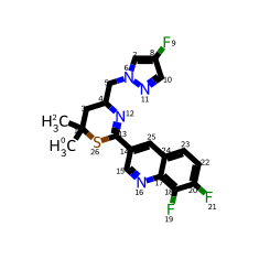 CC1(C)CC(Cn2cc(F)cn2)N=C(c2cnc3c(F)c(F)ccc3c2)S1